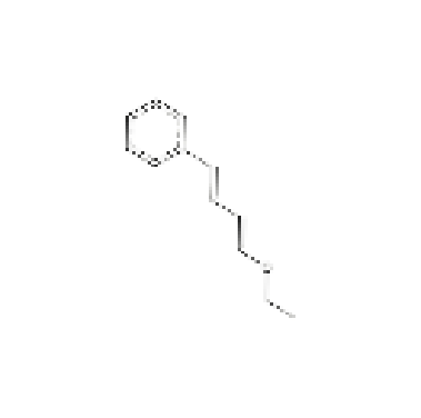 CCOC=CC=Cc1ccccc1